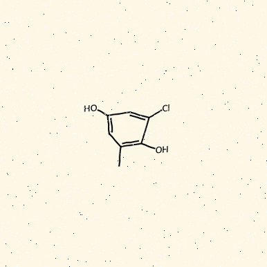 Cc1cc(O)cc(Cl)c1O